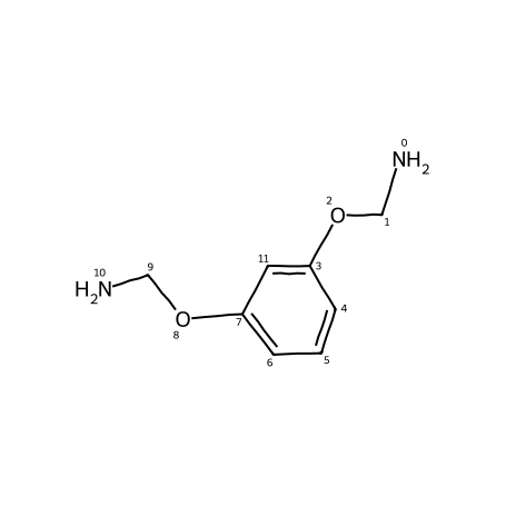 NCOc1cccc(OCN)c1